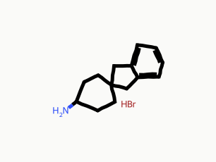 Br.NC1CCC2(CC1)Cc1ccccc1C2